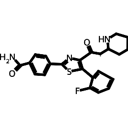 NC(=O)c1ccc(-c2nc(C(=O)[CH]C3CCCCN3)c(-c3ccccc3F)s2)cc1